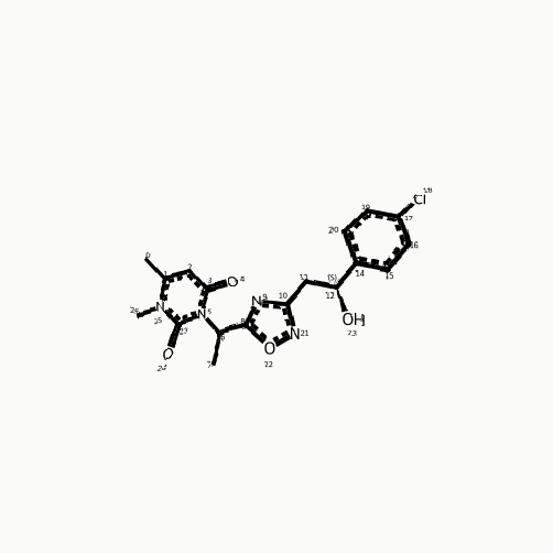 Cc1cc(=O)n(C(C)c2nc(C[C@H](O)c3ccc(Cl)cc3)no2)c(=O)n1C